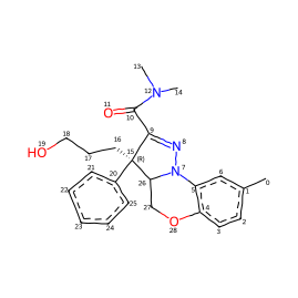 Cc1ccc2c(c1)N1N=C(C(=O)N(C)C)[C@](CCCO)(c3ccccc3)C1CO2